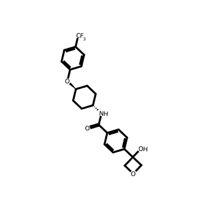 O=C(N[C@H]1CC[C@H](Oc2ccc(C(F)(F)F)cc2)CC1)c1ccc(C2(O)COC2)cc1